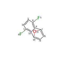 Fc1ccc(F)c2c3ccc(o3)c12